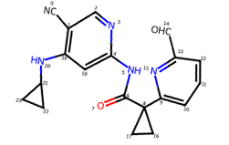 N#Cc1cnc(NC(=O)C2(c3cccc(C=O)n3)CC2)cc1NC1CC1